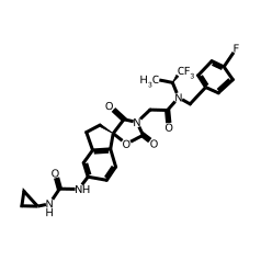 C[C@H](N(Cc1ccc(F)cc1)C(=O)CN1C(=O)O[C@@]2(CCc3cc(NC(=O)NC4CC4)ccc32)C1=O)C(F)(F)F